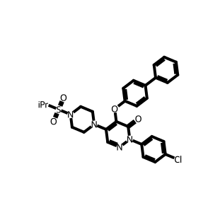 CC(C)S(=O)(=O)N1CCN(c2cnn(-c3ccc(Cl)cc3)c(=O)c2Oc2ccc(-c3ccccc3)cc2)CC1